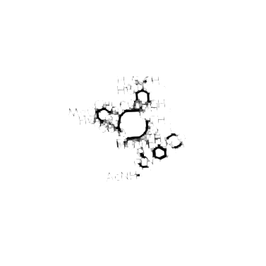 CC(=O)NC[C@H]1CN(c2ccc(N3CCOCC3)c(F)c2)C(=O)O1.CC[C@H]1OC(=O)[C@H](C)[C@@H](O[C@H]2C[C@@](C)(OC)[C@@H](O)[C@H](C)O2)[C@H](C)[C@@H](O[C@@H]2O[C@H](C)C[C@H](N(C)C)[C@H]2O)[C@](C)(O)C[C@@H](C)C(=O)[C@H](C)[C@@H](O)[C@]1(C)O